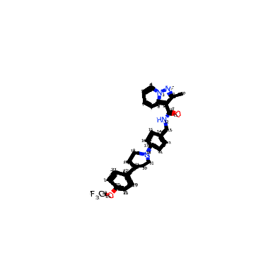 Cc1nn2ccccc2c1C(=O)NCc1ccc(N2CCC(c3ccc(OC(F)(F)F)cc3)CC2)cc1